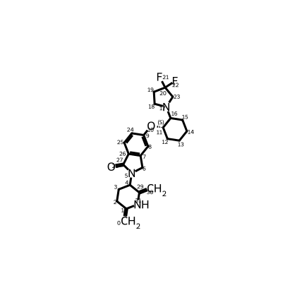 C=C1CCC(N2Cc3cc(O[C@H]4CCCCC4N4CCC(F)(F)C4)ccc3C2=O)C(=C)N1